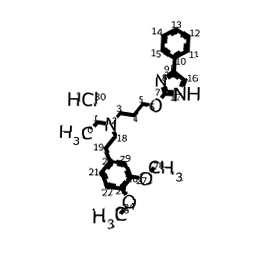 CCN(CCCOc1nc(-c2ccccc2)c[nH]1)CCc1ccc(OC)c(OC)c1.Cl